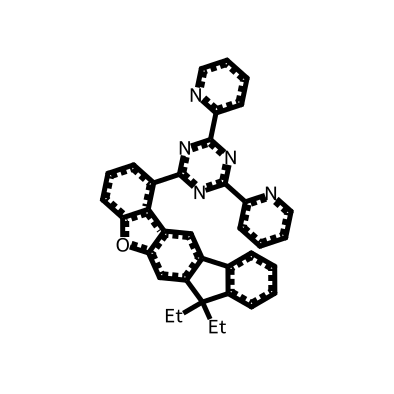 CCC1(CC)c2ccccc2-c2cc3c(cc21)oc1cccc(-c2nc(-c4ccccn4)nc(-c4ccccn4)n2)c13